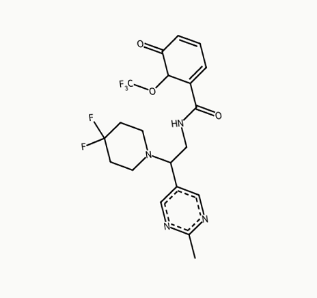 Cc1ncc(C(CNC(=O)C2=CC=CC(=O)C2OC(F)(F)F)N2CCC(F)(F)CC2)cn1